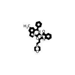 Cc1cc2c3c(c1)C(c1ccccc1)=NC(n1c(C[CH]CN4CCOCC4)nc4ccccc4c1=O)C(=O)N3CC2